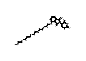 O=C1CCC(N2C(=O)c3cccc(NCCOCCOCCOCCCOCCO)c3C2=O)C(=O)N1